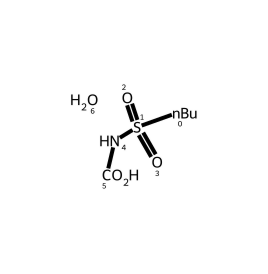 CCCCS(=O)(=O)NC(=O)O.O